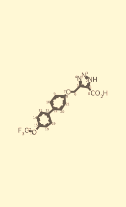 O=C(O)c1[nH]nnc1COc1ccc(-c2ccc(OC(F)(F)F)cc2)cc1